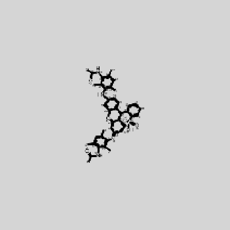 CC(=O)Nc1c(C)cc(C)c(/N=c2/ccc3c(-c4ccccc4S(=O)(=O)O)c4ccc(Nc5c(C)cc(C)c(NC(C)=O)c5C)cc4oc-3c2)c1C